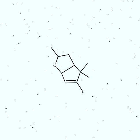 CC1=CC2OC(C)CC2C1(C)C